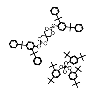 CC(C)(C)c1ccc(OP(=O)(Oc2ccc(C(C)(C)C)cc2C(C)(C)C)Oc2ccc(C(C)(C)C)cc2C(C)(C)C)c(C(C)(C)C)c1.CC(C)(c1ccccc1)c1ccc(OP2OCC3(CO2)COP(Oc2ccc(C(C)(C)c4ccccc4)cc2C(C)(C)c2ccccc2)OC3)c(C(C)(C)c2ccccc2)c1